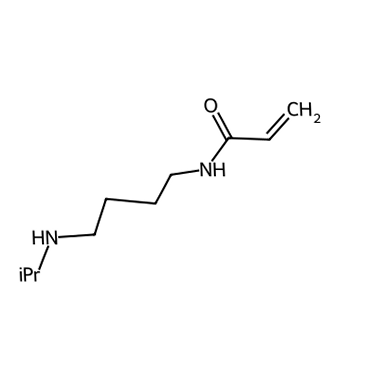 C=CC(=O)NCCCCNC(C)C